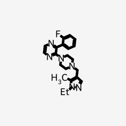 CCn1ncc(CN2CCN(c3nccnc3-c3ccccc3F)CC2)c1C